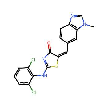 Cn1cnc2ccc(C=C3SC(Nc4c(Cl)cccc4Cl)=NC3=O)cc21